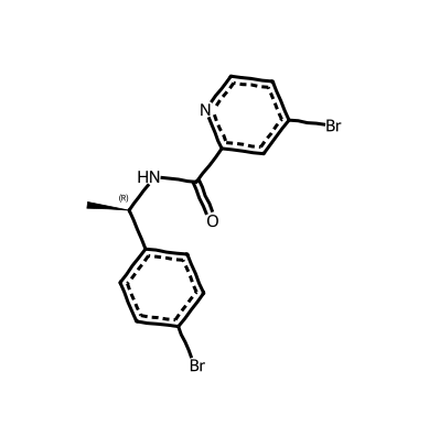 C[C@@H](NC(=O)c1cc(Br)ccn1)c1ccc(Br)cc1